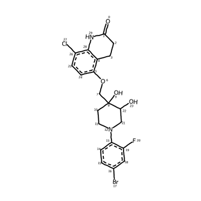 O=C1CCc2c(OCC3(O)CCN(c4ccc(Br)cc4F)CC3O)ccc(Cl)c2N1